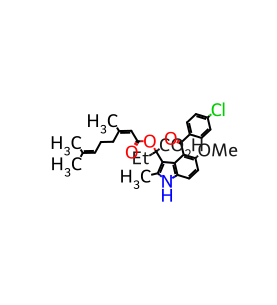 CCC(OC(=O)C=C(C)CCC=C(C)C)(C(=O)O)c1c(C)[nH]c2ccc(OC)c(C(=O)c3ccc(Cl)cc3)c12